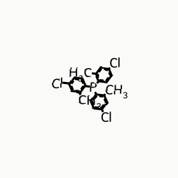 Cc1cc(Cl)ccc1P(c1ccc(Cl)cc1C)c1ccc(Cl)cc1C